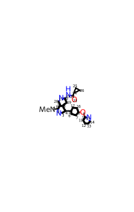 CNc1ncc(-c2ccc(Oc3ccccn3)cc2)c2cc(NC(=O)C3CC3)ncc12